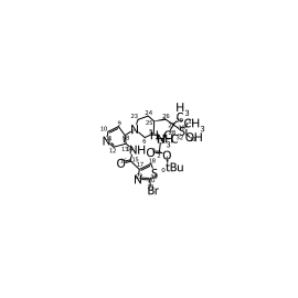 CC(C)(C)OC(=O)N[C@@H]1CN(c2ccncc2NC(=O)c2csc(Br)n2)CC[C@H]1CC(C)(C)[Si](C)(C)O